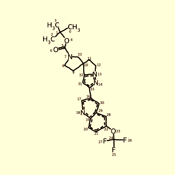 CC(C)(C)OC(=O)N1CCC2(CCn3nc(-c4cnc5ccc(OC(F)(F)F)cc5c4)cc32)C1